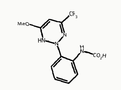 COC1=CC(C(F)(F)F)=NN(c2ccccc2NC(=O)O)N1